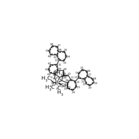 C[CH2][Hf]([CH3])([CH3])(=[SiH2])([CH2]C)([CH]1C=Cc2c(-c3cccc4ccccc34)cccc21)[CH]1C=Cc2c(-c3cccc4ccccc34)cccc21